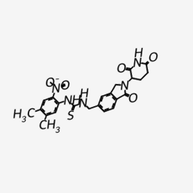 Cc1cc(NC(=S)NCc2ccc3c(c2)CN(C2CCC(=O)NC2=O)C3=O)c([N+](=O)[O-])cc1C